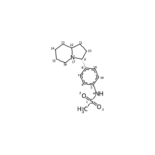 CS(=O)(=O)Nc1ccc([C@H]2CCC3CCCCN32)cc1